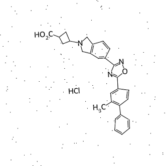 Cc1cc(-c2nc(-c3ccc4c(c3)CN(C3CC(C(=O)O)C3)C4)no2)ccc1-c1ccccc1.Cl